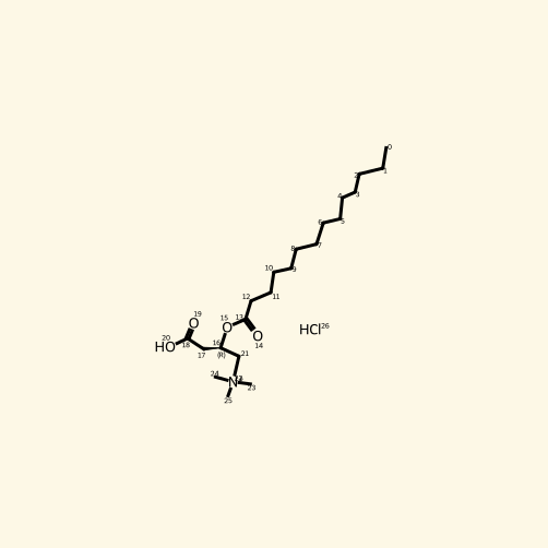 CCCCCCCCCCCCCC(=O)O[C@H](CC(=O)O)C[N+](C)(C)C.Cl